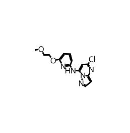 COCCOc1cccc(Nc2cc(Cl)nc3ccnn23)n1